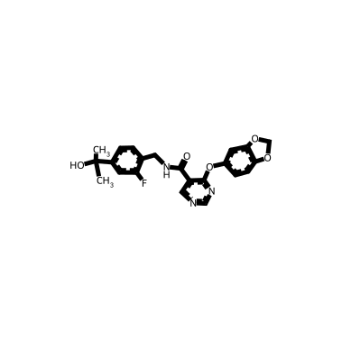 CC(C)(O)c1ccc(CNC(=O)c2cncnc2Oc2ccc3c(c2)OCO3)c(F)c1